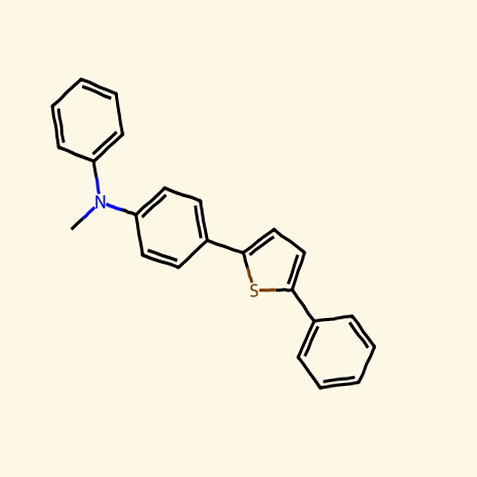 CN(c1ccccc1)c1ccc(-c2ccc(-c3ccccc3)s2)cc1